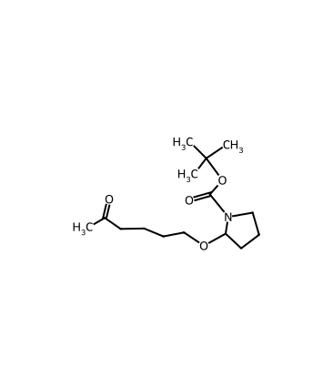 CC(=O)CCCCOC1CCCN1C(=O)OC(C)(C)C